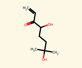 [CH2]C(C)(O)CCC(O)C(=O)C=C